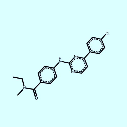 CCN(C)C(=O)c1ccc(Nc2nccc(-c3ccc(Cl)cc3)n2)cc1